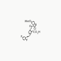 COc1ccc2ncc(Cl)c(C(=O)CC[C@@H]3CCN(CC#Cc4cc(F)ccc4F)C[C@@H]3CC(=O)O)c2c1